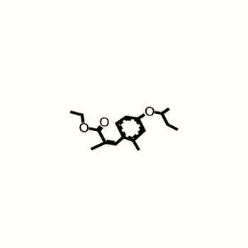 CCOC(=O)C(C)=Cc1ccc(OC(C)CC)cc1C